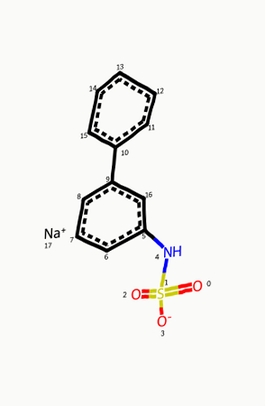 O=S(=O)([O-])Nc1cccc(-c2ccccc2)c1.[Na+]